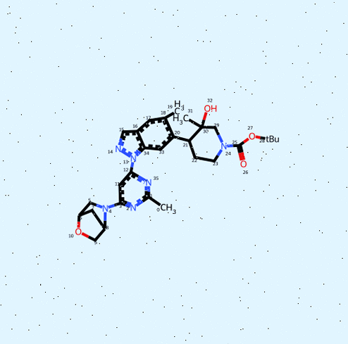 Cc1nc(N2CC3CC2CO3)cc(-n2ncc3cc(C)c(C4CCN(C(=O)OC(C)(C)C)CC4(C)O)cc32)n1